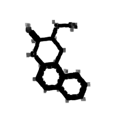 N#CSC1Cc2c(ccc3ccccc23)OC1=O